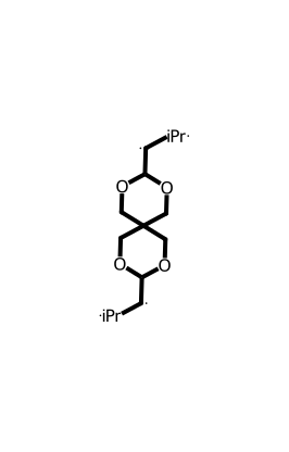 C[C](C)[CH]C1OCC2(CO1)COC([CH][C](C)C)OC2